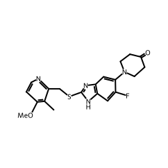 COc1ccnc(CSc2nc3cc(N4CCC(=O)CC4)c(F)cc3[nH]2)c1C